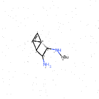 CCCCNC1C(N)C2C3=C[C@@]312